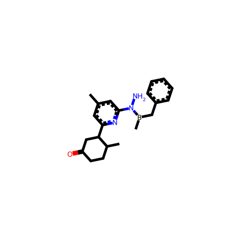 CB(Cc1ccccc1)N(N)c1cc(C)cc(C2CC(=O)CCC2C)n1